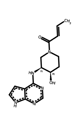 CC=CC(=O)N1CC[C@@H](O)[C@@H](Nc2ncnc3[nH]ccc23)C1